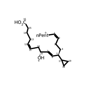 CCCCC/C=C\CC[C@H](/C=C/[C@H](O)C/C=C\CCCC(=O)O)C1CC1